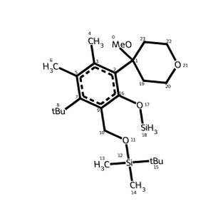 COC1(c2c(C)c(C)c(C(C)(C)C)c(CO[Si](C)(C)C(C)(C)C)c2O[SiH3])CCOCC1